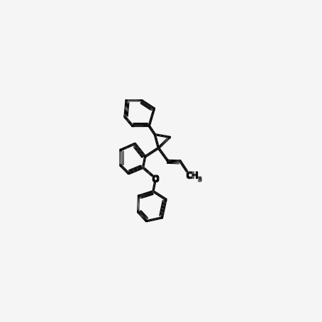 CC=CC1(c2ccccc2Oc2ccccc2)CC1c1ccccc1